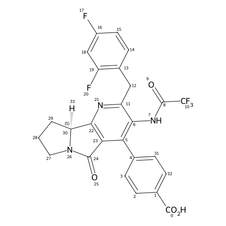 O=C(O)c1ccc(-c2c(NC(=O)C(F)(F)F)c(Cc3ccc(F)cc3F)nc3c2C(=O)N2CCC[C@@H]32)cc1